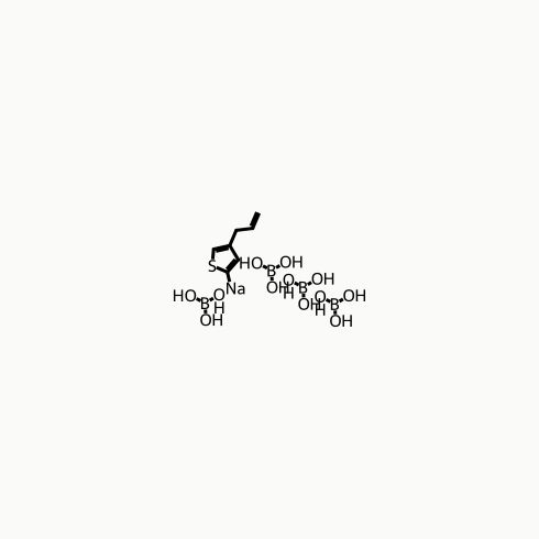 C=CCc1cs[c]([Na])c1.OB(O)O.OB(O)O.OB(O)O.OB(O)O